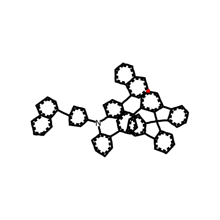 c1ccc(N(c2ccc(-c3cccc4ccccc34)cc2)c2ccc(-c3cccc4ccccc34)cc2)c(-c2ccc(-c3cccc4c3C3(c5ccccc5-c5ccccc53)c3ccccc3-4)cc2)c1